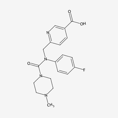 CN1CCN(C(=O)N(Cc2ccc(C(=O)O)cn2)c2ccc(F)cc2)CC1